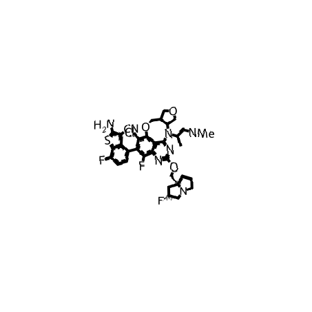 CNCC(C)N1c2nc(OC[C@@]34CCCN3C[C@H](F)C4)nc3c(F)c(-c4ccc(F)c5sc(N)c(C#N)c45)c(Cl)c(c23)OCC2COCC21